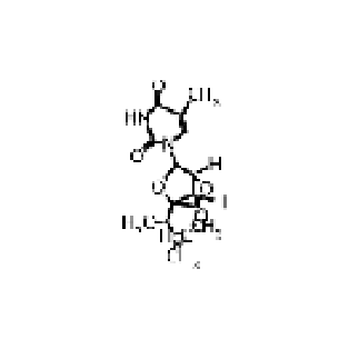 CO[C@@H](C)C12OC(n3cc(C)c(=O)[nH]c3=O)[C@H](O[C@H]1C)[C@@H]2OC